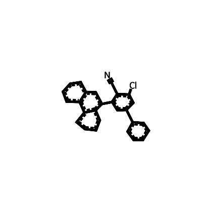 N#Cc1c(Cl)cc(-c2ccccc2)cc1-c1cc2ccccc2c2ccccc12